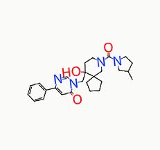 CC1CCN(C(=O)N2CCC(O)(Cn3cnc(-c4ccccc4)cc3=O)C3(CCCC3)C2)C1